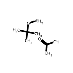 CC(=O)O.CC(C)(C)[O][AlH2]